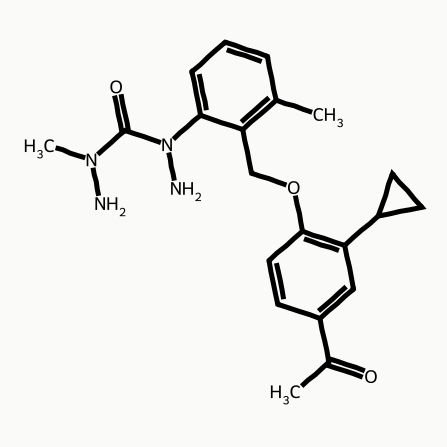 CC(=O)c1ccc(OCc2c(C)cccc2N(N)C(=O)N(C)N)c(C2CC2)c1